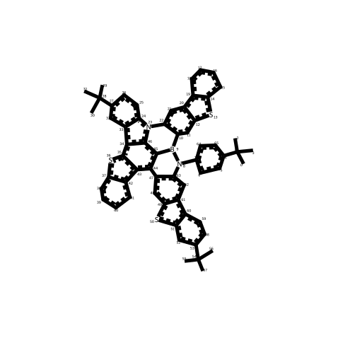 CC(C)(C)c1ccc(N2B3c4cc5sc6ccccc6c5cc4-n4c5ccc(C(C)(C)C)cc5c5c6sc7ccccc7c6c(c3c54)-c3cc4sc5cc(C(C)(C)C)ccc5c4cc32)cc1